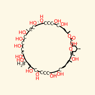 B[C@H]1/C=C(\C)[C@@H](O)C[C@H](O)CCC[C@H](O)[C@@H](C)[C@H](O)C/C=C/C=C(\C)[C@@H](O)[C@H](C)[C@@H]2C[C@H](C)[C@@H](C)C(O)(CC(=O)OC(C)/C=C/[C@@H](O)C[C@@H](O)CCC[C@H](O)[C@@H](C)[C@H](O)CC[C@H](C)[C@H](O)C[C@@H](O)C[C@H](O)CCC(O)[C@@H]1O)O2